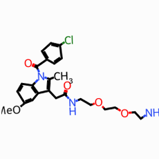 COc1ccc2c(c1)c(CC(=O)NCCOCCOCCN)c(C)n2C(=O)c1ccc(Cl)cc1